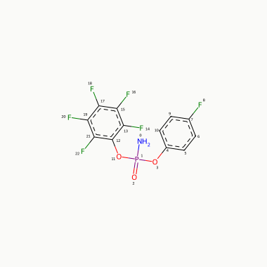 NP(=O)(Oc1ccc(F)cc1)Oc1c(F)c(F)c(F)c(F)c1F